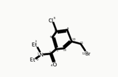 CCN(CC)C(=O)c1cc(Cl)cc(CBr)c1